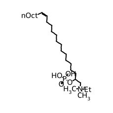 CCCCCCCC/C=C\CCCCCCCCCCCCC(C[N+](C)(C)CC)OP(=O)(O)O